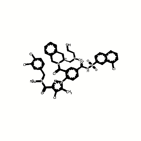 CCCCN(Cc1ccc(Cl)c(Cl)c1)C(=O)c1nn(-c2ccc(C(=O)NS(=O)(=O)c3ccc4cccc(Cl)c4c3)cc2C(=O)N2Cc3ccccc3C[C@H]2CN(C)CCO)c(C)c1Cl